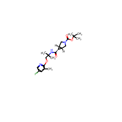 Cc1cc(F)cnc1OCC(C)(C)NC(=O)[C@H]1[C@@H]2CN(C(=O)OC(C)(C)C)C[C@@H]21